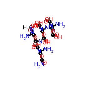 CN(CC(=O)O)C(=O)Cn1cc(CCN)c2cc(OCc3cccc(C#N)c3)ccc21.NCCc1cn(Cc2cccc(C(=O)O)c2)c2ccc(OCc3ccc(C(=O)O)cc3)cc12.NCCc1cn(Cc2cccc(C(=O)O)c2)c2ccc(OCc3ccc(C(N)=O)cc3)cc12.NCCc1cn(Cc2cccc(C(=O)O)c2)c2ccc(OCc3cccc(C(=O)O)c3)cc12